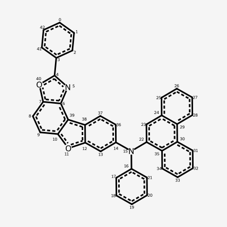 c1ccc(-c2nc3c(ccc4oc5cc(N(c6ccccc6)c6cc7ccccc7c7ccccc67)ccc5c43)o2)cc1